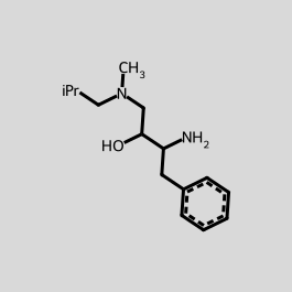 CC(C)CN(C)CC(O)C(N)Cc1ccccc1